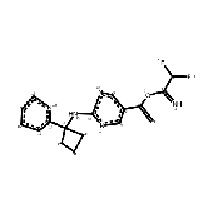 C=C(OC(=N)C(F)F)c1cnc(NC2(c3ccccn3)CCC2)nc1